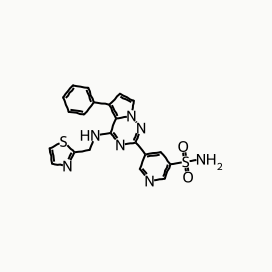 NS(=O)(=O)c1cncc(-c2nc(NCc3nccs3)c3c(-c4ccccc4)ccn3n2)c1